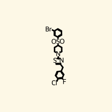 O=S(=O)(c1cccc(Br)c1)C1CCN(c2nc(Cc3ccc(Cl)c(F)c3)cs2)CC1